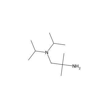 CC(C)N(CC(C)(C)N)C(C)C